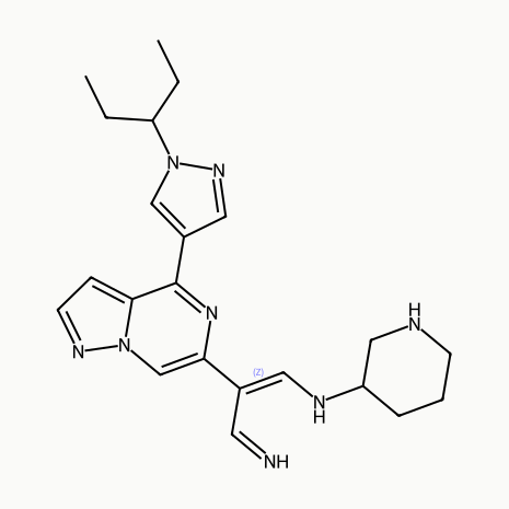 CCC(CC)n1cc(-c2nc(/C(C=N)=C/NC3CCCNC3)cn3nccc23)cn1